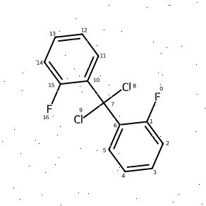 Fc1ccccc1C(Cl)(Cl)c1ccccc1F